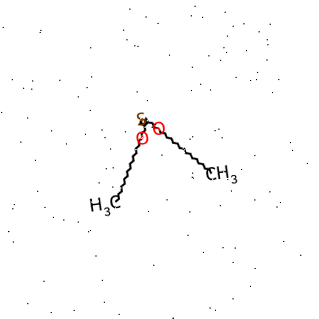 CCCCCCCCCCCCCCCCCOCCc1cscc1CCOCCCCCCCCCCCCCCCCC